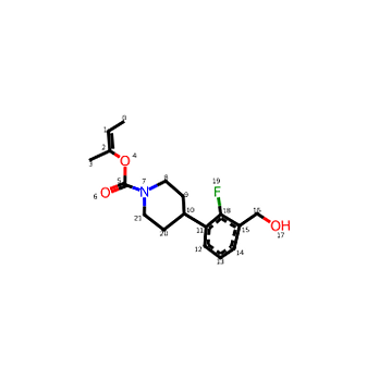 C/C=C(/C)OC(=O)N1CCC(c2cccc(CO)c2F)CC1